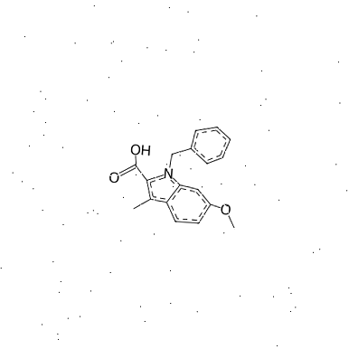 COc1ccc2c(C)c(C(=O)O)n(Cc3ccccc3)c2c1